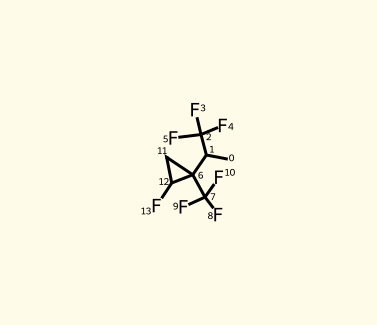 CC(C(F)(F)F)C1(C(F)(F)F)CC1F